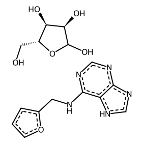 OC[C@H]1OC(O)[C@H](O)[C@@H]1O.c1coc(CNc2ncnc3nc[nH]c23)c1